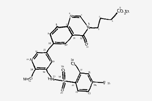 CCOC(=O)CCCn1cnc2ccc(-c3cnc(OC)c(NS(=O)(=O)c4ccc(F)cc4Cl)c3)cc2c1=O